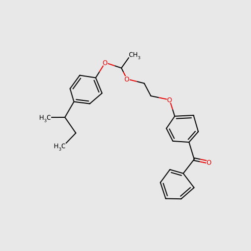 CCC(C)c1ccc(OC(C)OCCOc2ccc(C(=O)c3ccccc3)cc2)cc1